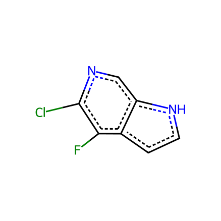 Fc1c(Cl)ncc2[nH]ccc12